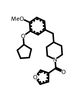 COc1ccc(CC2CCN(C(=O)c3ccoc3)CC2)cc1OC1CCCC1